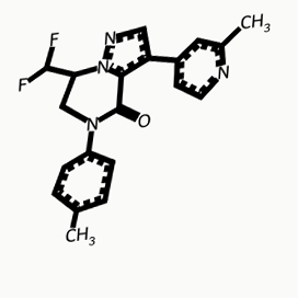 Cc1ccc(N2CC(C(F)F)n3ncc(-c4ccnc(C)c4)c3C2=O)cc1